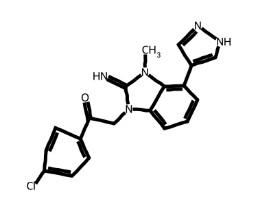 Cn1c(=N)n(CC(=O)c2ccc(Cl)cc2)c2cccc(-c3cn[nH]c3)c21